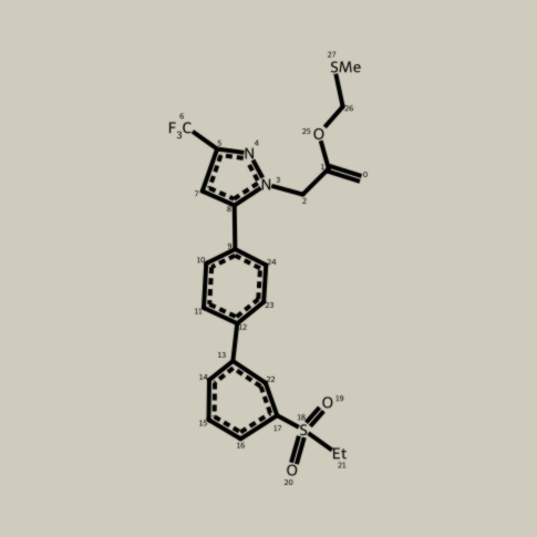 C=C(Cn1nc(C(F)(F)F)cc1-c1ccc(-c2cccc(S(=O)(=O)CC)c2)cc1)OCSC